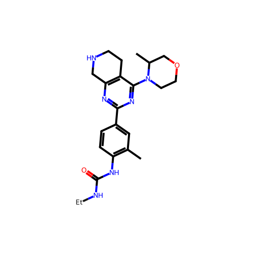 CCNC(=O)Nc1ccc(-c2nc3c(c(N4CCOCC4C)n2)CCNC3)cc1C